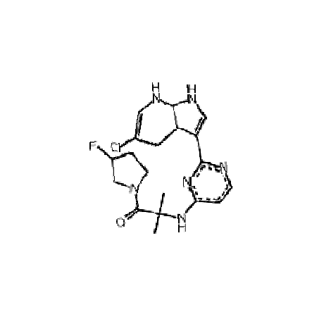 CC(C)(Nc1ccnc(C2=CNC3NC=C(Cl)CC23)n1)C(=O)N1CCC(F)C1